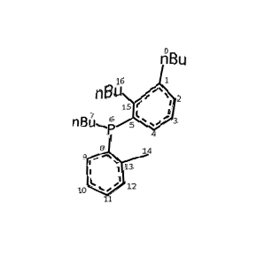 CCCCc1cccc(P(CCCC)c2ccccc2C)c1CCCC